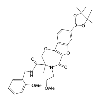 COCCN1C(=O)c2oc3cc(B4OC(C)(C)C(C)(C)O4)ccc3c2OCC1(C)C(=O)NCc1ccccc1OC